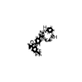 O=C(Nc1ccc(-c2cnc3nc2NCCCNSc2cccc(c2)N3)cc1)C1(c2ccc(C(F)(F)F)cc2)CC1